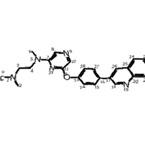 CC(=O)N(C)CCN(C)c1cncc(Oc2ccc(-c3cnc4ccccc4c3)cc2)n1